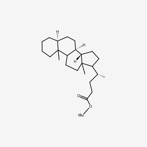 C[C@H](CCC(=O)OC(C)(C)C)C1CC[C@H]2[C@@H]3CC[C@@H]4CCCCC4(C)C3CCC12C